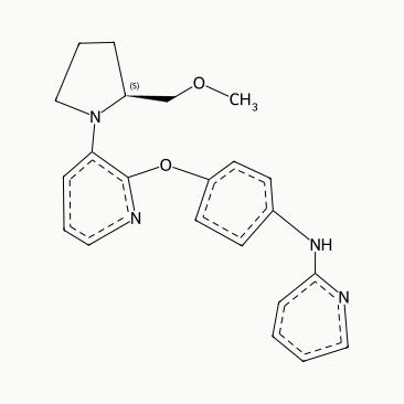 COC[C@@H]1CCCN1c1cccnc1Oc1ccc(Nc2ccccn2)cc1